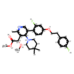 Cc1ncc(-c2ccc(OCCc3ccc(F)cc3)cc2F)c(N2CCC(C)(C)CC2)c1[C@H](OC(C)(C)C)C(=O)OC(C)C